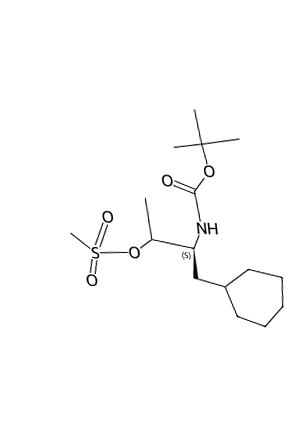 CC(OS(C)(=O)=O)[C@H](CC1CCCCC1)NC(=O)OC(C)(C)C